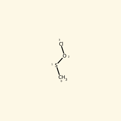 CSOCl